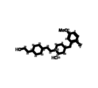 COc1ccc(Br)c(CC2CCN(CCC3CCC(CCO)CC3)CC2)c1.Cl